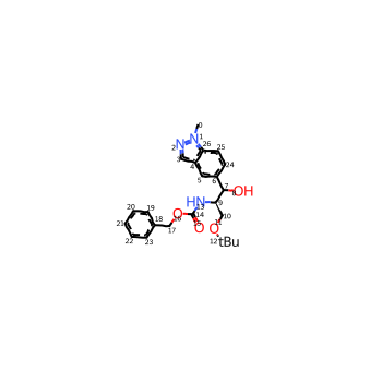 Cn1ncc2cc(C(O)[C@@H](COC(C)(C)C)NC(=O)OCc3ccccc3)ccc21